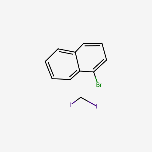 Brc1cccc2ccccc12.ICI